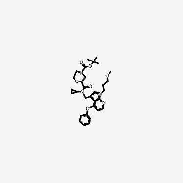 COCCCn1cc(CN(C(=O)C2CN(C(=O)OC(C)(C)C)CCO2)C2CC2)c2c(Oc3ccccc3)ccnc21